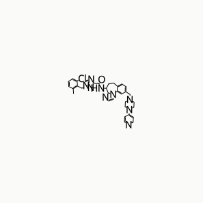 Cc1cccc(Cl)c1Cn1cnc(C(=O)NC2CCc3ccc(CN4CCN(c5ccncc5)CC4)cc3-n3ccnc32)n1